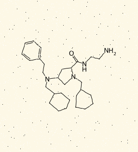 NCCNC(=O)C1CC(N(CCc2ccccc2)CC2CCCCC2)CN1CC1CCCCC1